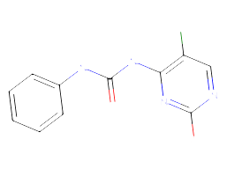 O=C(Nc1ccccc1)Nc1nc(O)ncc1F